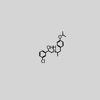 CC(Cc1ccc(OC(C)C)cc1)NCC(O)c1cccc(Cl)c1